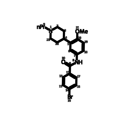 CCCN1CCC(c2cc(NC(=O)c3ccc(Br)cc3)ccc2OC)CC1